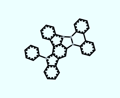 c1ccc(-n2c3ccccc3c3cc4c5c(c6ccccc6n5B5c6ccccc6-c6ccccc6N54)c32)cc1